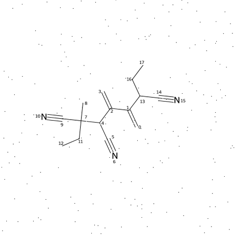 C=C(C(=C)C(C#N)C(C)(C#N)CC)C(C#N)CC